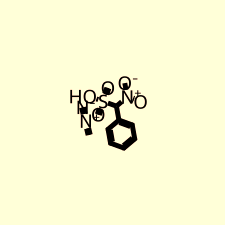 C=[N+]=[N-].O=[N+]([O-])C(c1ccccc1)S(=O)(=O)O